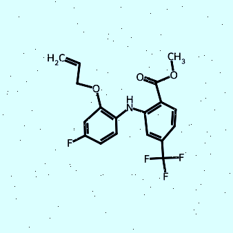 C=CCOc1cc(F)ccc1Nc1cc(C(F)(F)F)ccc1C(=O)OC